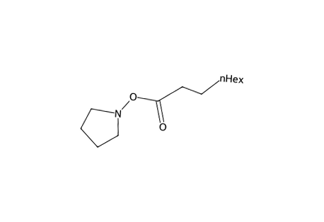 CCCCCCCCC(=O)ON1CCCC1